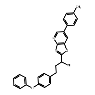 Cc1ccc(-c2cnc3nc(C(O)CCc4ccc(Oc5ccccc5)cc4)oc3c2)cc1